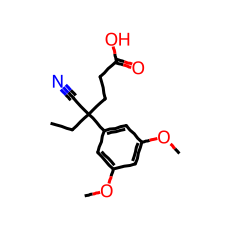 CCC(C#N)(CCC(=O)O)c1cc(OC)cc(OC)c1